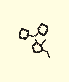 CCc1cccc(P(c2ccccc2)c2ccccc2)c1C